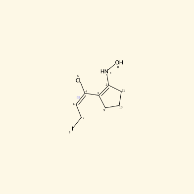 ONC1=C(/C(Cl)=C\CI)CCC1